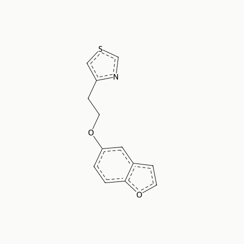 c1cc2cc(OCCc3cscn3)ccc2o1